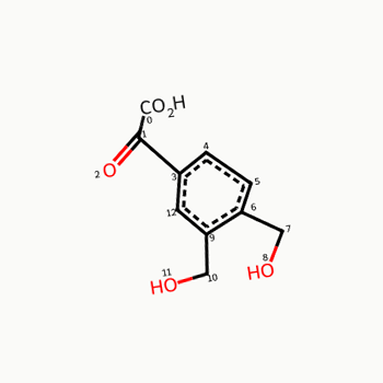 O=C(O)C(=O)c1ccc(CO)c(CO)c1